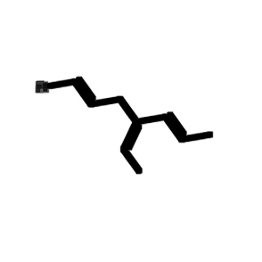 CC=CC(=CC)CC=CCC